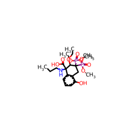 CCCNC1(C(=O)O)c2cccc(O)c2CC(P(=O)(OC)OC)(P(=O)(OC)OC)C1OCC